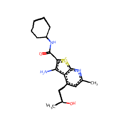 Cc1cc(CC(C)O)c2c(N)c(C(=O)NC3CCCCC3)sc2n1